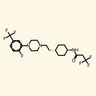 O=C(CC(F)(F)F)N[C@H]1CC[C@H](CCN2CCN(c3cc(C(F)(F)F)ccc3F)CC2)CC1